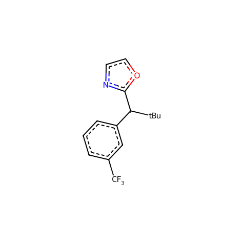 CC(C)(C)[C](c1cccc(C(F)(F)F)c1)c1ncco1